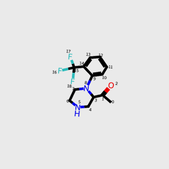 CC(=O)C1CNCCN1c1ccccc1C(F)(F)F